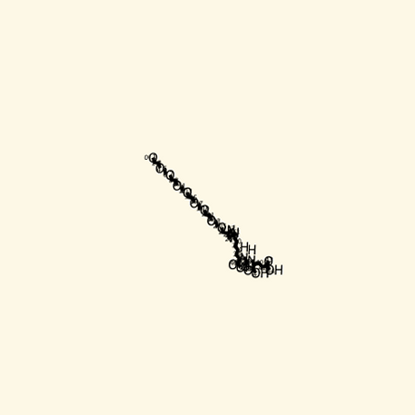 COCCOCCOCCOCCOCCOCCOCCOCCOCc1cn(CCCCC(NC(=O)NC(CCC(=O)O)C(=O)O)C(=O)O)nn1